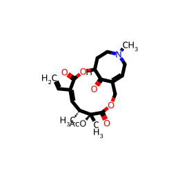 C=C/C1=C/[C@@H](C)[C@](C)(OC(C)=O)C(=O)OC/C2=C/CN(C)CC[C@@H](OC1=O)C2=O